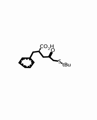 CC(C)(C)SCC(=O)C[C@@H](Cc1ccccc1)C(=O)O